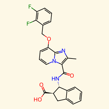 Cc1nc2c(OCc3cccc(F)c3F)cccn2c1C(=O)N[C@@H]1c2ccccc2C[C@H]1C(=O)O